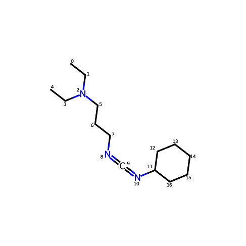 CCN(CC)CCCN=C=NC1CCCCC1